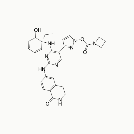 CC[C@]1(Nc2nc(Nc3ccc4c(c3)CCNC4=O)ncc2-c2ccn(OC(=O)N3CCC3)n2)C=CC=CC1O